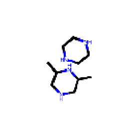 C1CNCCN1.CC1CNCC(C)N1